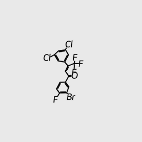 O=C(C=C(c1cc(Cl)cc(Cl)c1)C(F)(F)F)c1ccc(F)c(Br)c1